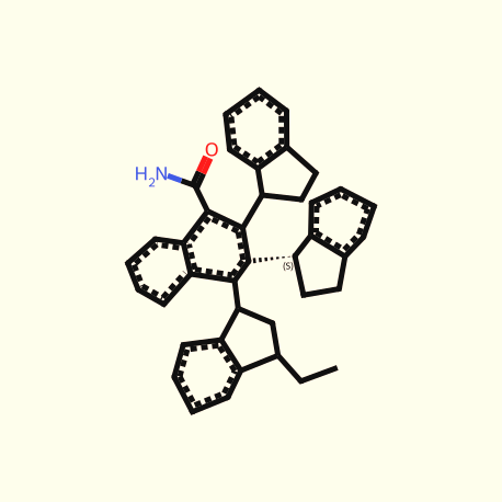 CCC1CC(c2c([C@H]3CCc4ccccc43)c(C3CCc4ccccc43)c(C(N)=O)c3ccccc23)c2ccccc21